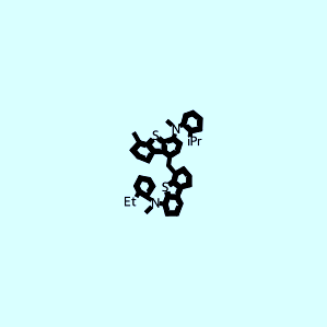 CCc1ccccc1N(C)c1cccc2c1sc1c(Cc3ccc(N(C)c4ccccc4C(C)C)c4sc5c(C)cccc5c34)cccc12